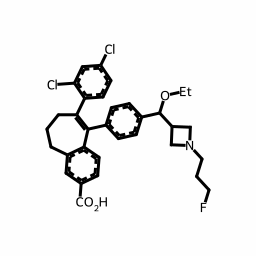 CCOC(c1ccc(C2=C(c3ccc(Cl)cc3Cl)CCCc3cc(C(=O)O)ccc32)cc1)C1CN(CCCF)C1